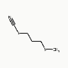 CSCCCSC#N